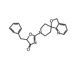 O=C1N=C(N2CCC3(CC2)OCc2cccnc23)OC1Cc1ccccc1